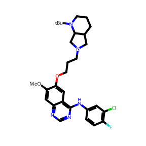 COc1cc2ncnc(Nc3ccc(F)c(Cl)c3)c2cc1OCCCN1CC2CCCN(C(C)(C)C)C2C1